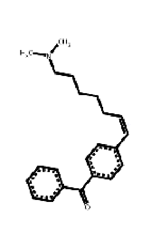 CN(C)CCCCC/C=C\c1ccc(C(=O)c2ccccc2)cc1